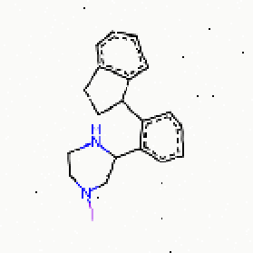 IN1CCNC(c2ccccc2C2CCc3ccccc32)C1